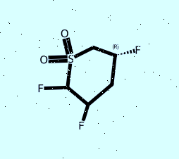 O=S1(=O)C[C@H](F)CC(F)C1F